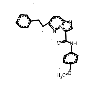 COc1ccc(NC(=O)c2cnc3ccc(CCc4ccccc4)nn23)cc1